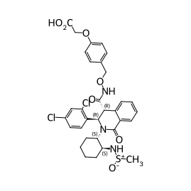 C[S+]([O-])N[C@H]1CCCC[C@@H]1N1C(=O)c2ccccc2[C@@H](C(=O)NOCc2ccc(OCC(=O)O)cc2)[C@@H]1c1ccc(Cl)cc1Cl